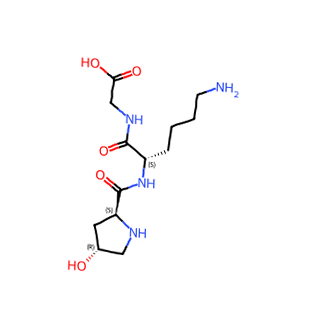 NCCCC[C@H](NC(=O)[C@@H]1C[C@@H](O)CN1)C(=O)NCC(=O)O